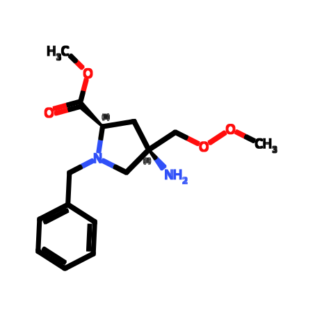 COOC[C@@]1(N)C[C@H](C(=O)OC)N(Cc2ccccc2)C1